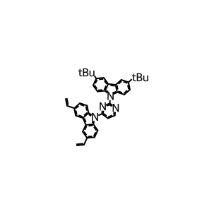 C=Cc1ccc2c(c1)c1cc(C=C)ccc1n2-c1ccnc(-n2c3ccc(C(C)(C)C)cc3c3cc(C(C)(C)C)ccc32)n1